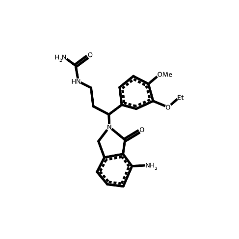 CCOc1cc(C(CCNC(N)=O)N2Cc3cccc(N)c3C2=O)ccc1OC